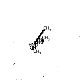 CCCCCCCCCC(CC(=O)Nc1nc(C)co1)=Nc1nc(C)co1